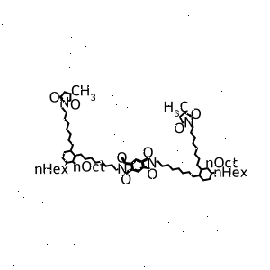 CCCCCCCCC1C(CCCCCC)CCC(CCCCCCCCn2c(=O)c3cc4c(=O)n(CCCCCCCCC5C(CCCCCCCCN6C(=O)CC(C)C6=O)CCC(CCCCCC)C5CCCCCCCC)c(=O)c4cc3c2=O)C1CCCCCCCCN1C(=O)CC(C)C1=O